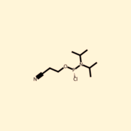 CC(C)N(C(C)C)[P@](Cl)OCCC#N